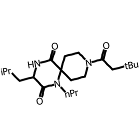 CCCN1C(=O)C(CC(C)C)NC(=O)C12CCN(C(=O)CC(C)(C)C)CC2